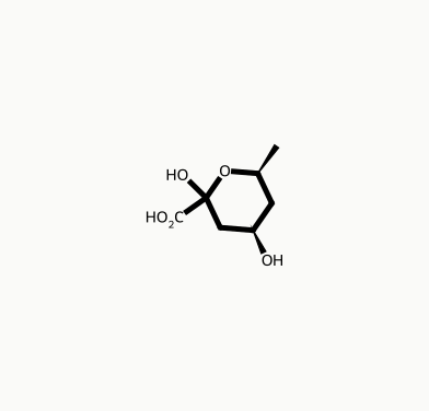 C[C@H]1C[C@@H](O)CC(O)(C(=O)O)O1